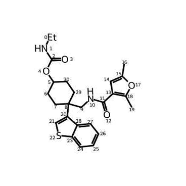 CCNC(=O)OC1CCC(CNC(=O)c2cc(C)oc2C)(c2csc3ccccc23)CC1